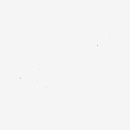 CN1Cc2cc(-c3ccc(CN)nc3)ccc2S1(=O)=O